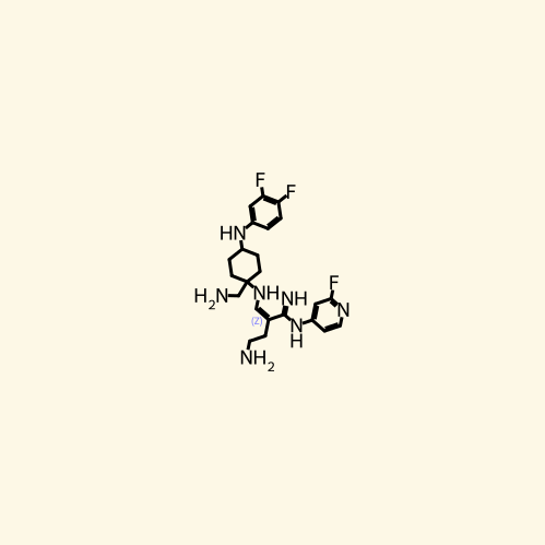 N=C(Nc1ccnc(F)c1)/C(=C\NC1(CN)CCC(Nc2ccc(F)c(F)c2)CC1)CCN